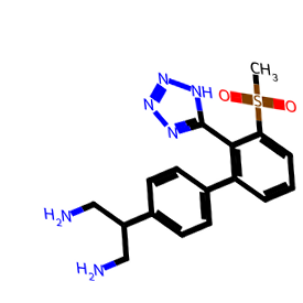 CS(=O)(=O)c1cccc(-c2ccc(C(CN)CN)cc2)c1-c1nnn[nH]1